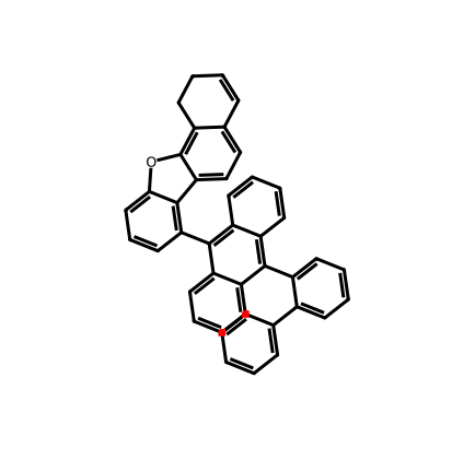 C1=Cc2ccc3c(oc4cccc(-c5c6ccccc6c(-c6ccccc6-c6ccccc6)c6ccccc56)c43)c2CC1